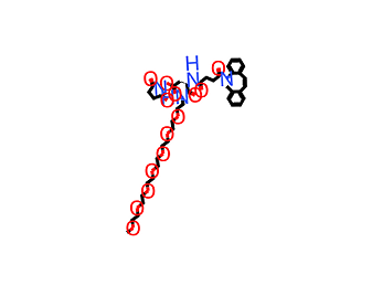 COCCOCCOCCOCCOCCOCCOCCNC(=O)[C@H](CC(=O)ON1C(=O)CCC1=O)NC(=O)CCC(=O)N1Cc2ccccc2/C=C\c2ccccc21